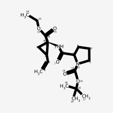 C=CC1C[C@]1(NC(=O)C1CCCN1C(=O)OC(C)(C)C)C(=O)OCC